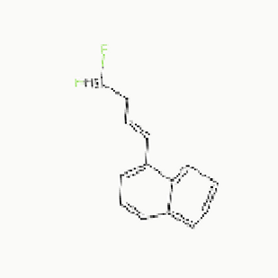 F[SiH](F)CC=Cc1cccc2ccccc12